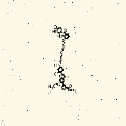 CCOc1cc2oc(-c3ccc(NCCOCCOCCOCCOc4cccc5c4C(=O)N(C4CCC(=O)NC4=O)C5=O)cc3Cl)cc(=O)c2cc1-c1cccc(C(N)=O)c1